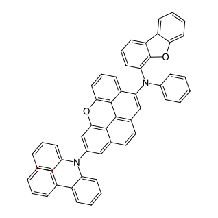 c1ccc(-c2ccccc2N(c2ccccc2)c2cc3c4c(ccc5cc(N(c6ccccc6)c6cccc7c6oc6ccccc67)c6cccc(c6c54)O3)c2)cc1